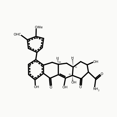 COc1ccc(-c2ccc(O)c3c2C[C@H]2C[C@H]4CC(O)C(C(N)=O)C(=O)[C@@]4(O)C(O)=C2C3=O)cc1C=O